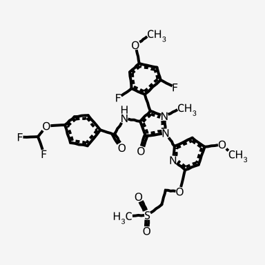 COc1cc(OCCS(C)(=O)=O)nc(-n2c(=O)c(NC(=O)c3ccc(OC(F)F)cc3)c(-c3c(F)cc(OC)cc3F)n2C)c1